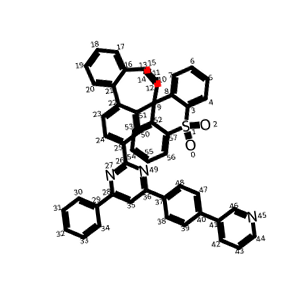 O=S1(=O)c2ccccc2C2(c3ccccc3-c3ccccc3-c3ccc(-c4nc(-c5ccccc5)cc(-c5ccc(-c6cccnc6)cc5)n4)cc32)c2ccccc21